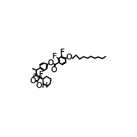 CCCCCCCCCCOc1ccc(C(=O)Oc2ccc(C(C)[C@H](C)[C@](F)(C(=O)O)C3CCCCC3)cc2)c(F)c1F